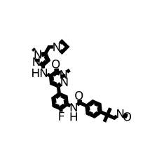 Cn1nc(Nc2cc(-c3ccc(F)c(NC(=O)c4ccc(C(C)(C)CN=O)cc4)c3)nn(C)c2=O)cc1CN1CCC1